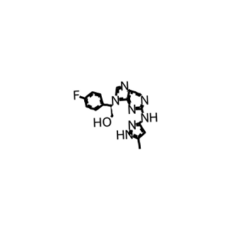 Cc1cc(Nc2ncc3ncn([C@@H](CO)c4ccc(F)cc4)c3n2)n[nH]1